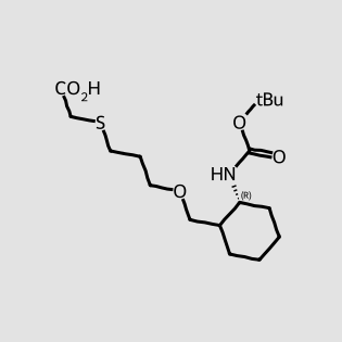 CC(C)(C)OC(=O)N[C@@H]1CCCCC1COCCCSCC(=O)O